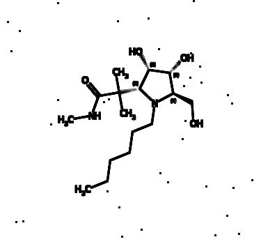 CCCCCCN1[C@H](CO)[C@@H](O)[C@@H](O)[C@H]1C(C)(C)C(=O)NC